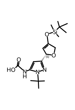 CC(C)(C)n1nc([C@@H]2C=C(O[Si](C)(C)C(C)(C)C)CO2)cc1NC(=O)O